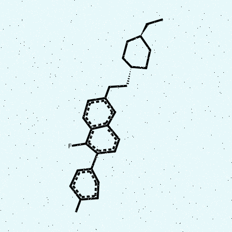 CC[C@H]1CC[C@H](CCc2ccc3c(F)c(-c4ccc(C)cc4)ccc3c2)CC1